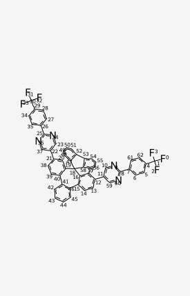 FC(F)(F)c1ccc(-c2ncc(-c3ccc4c(c3)C3(c5cc(-c6cnc(-c7ccc(C(F)(F)F)cc7)nc6)ccc5-c5ccccc5-4)c4ccccc4-c4ccccc43)cn2)cc1